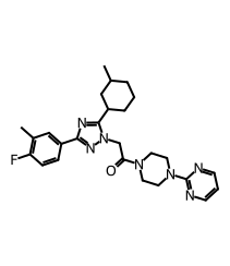 Cc1cc(-c2nc(C3CCCC(C)C3)n(CC(=O)N3CCN(c4ncccn4)CC3)n2)ccc1F